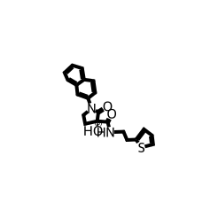 O=C(NCCc1cccs1)[C@@]1(O)CCN(c2ccc3ccccc3c2)C1=O